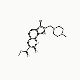 COC(=O)c1cc2ccc3c(Br)c(CN4CCN(C)CC4)[se]c3c2oc1=O